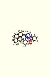 O=P(c1ccccc1)(c1ccccc1)c1nccc(-c2ccc3ccc4cccc5ccc2c3c45)n1